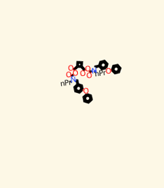 CCCN(Cc1cccc(Oc2ccccc2)c1)C(=O)OC(=O)C1CCC1C(=O)OC(=O)N(CCC)Cc1cccc(Oc2ccccc2)c1